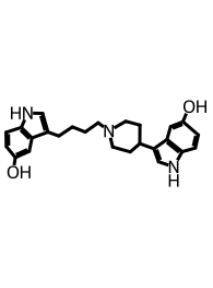 Oc1ccc2[nH]cc(CCCCN3CCC(c4c[nH]c5ccc(O)cc45)CC3)c2c1